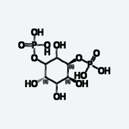 O=P(O)(O)OC1C(O)[C@@H](OP(=O)(O)O)[C@@H](O)C(O)[C@@H]1O